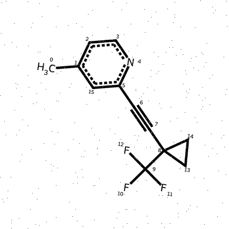 Cc1ccnc(C#CC2(C(F)(F)F)CC2)c1